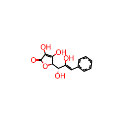 O=C1O[C@H]([C@@H](O)C(O)=Cc2ccccc2)C(O)=C1O